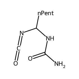 CCCCCC(N=C=O)NC(N)=O